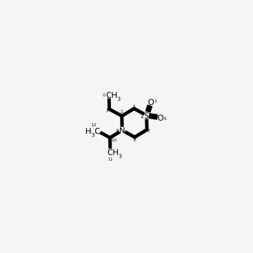 CCC1CS(=O)(=O)CCN1C(C)C